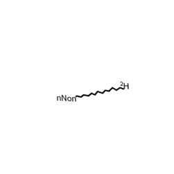 [2H]CCCCCCCCCCCCCCCCCCCCCCC